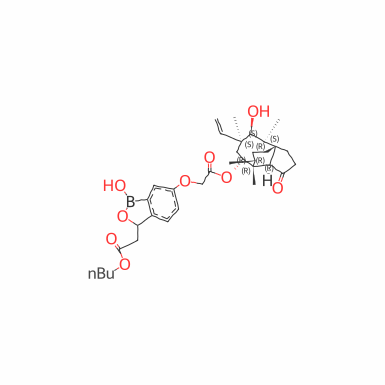 C=C[C@]1(C)C[C@@H](OC(=O)COc2ccc3c(c2)B(O)OC3CC(=O)OCCCC)[C@]2(C)[C@H](C)CC[C@]3(CCC(=O)[C@H]32)[C@@H](C)[C@@H]1O